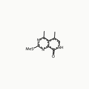 CSc1nc(C)c2c(C)c[nH]c(=O)c2n1